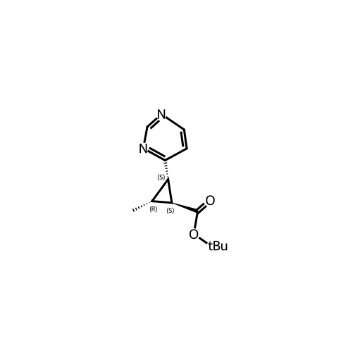 C[C@H]1[C@H](C(=O)OC(C)(C)C)[C@H]1c1ccncn1